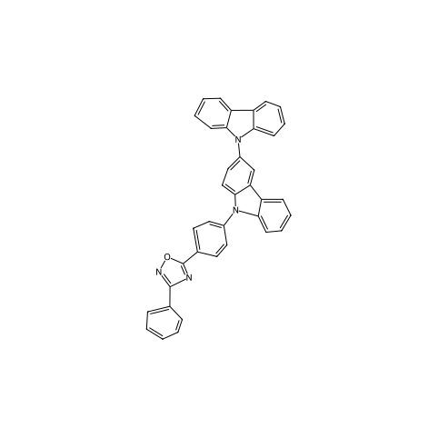 c1ccc(-c2noc(-c3ccc(-n4c5ccccc5c5cc(-n6c7ccccc7c7ccccc76)ccc54)cc3)n2)cc1